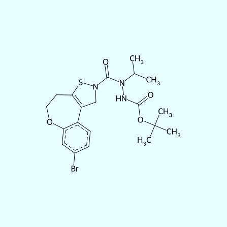 CC(C)N(NC(=O)OC(C)(C)C)C(=O)N1CC2=C(CCOc3cc(Br)ccc32)S1